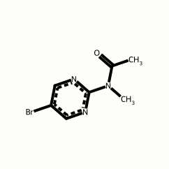 CC(=O)N(C)c1ncc(Br)cn1